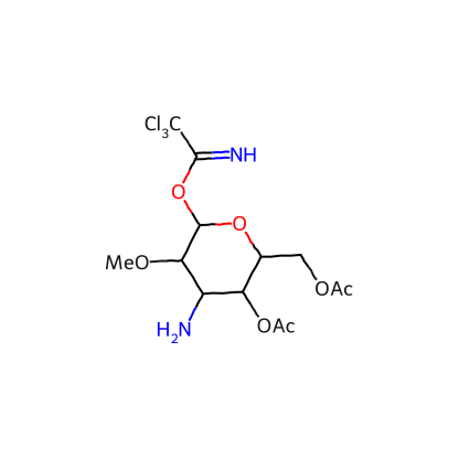 COC1C(OC(=N)C(Cl)(Cl)Cl)OC(COC(C)=O)C(OC(C)=O)C1N